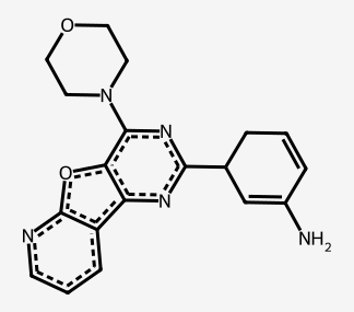 NC1=CC(c2nc(N3CCOCC3)c3oc4ncccc4c3n2)CC=C1